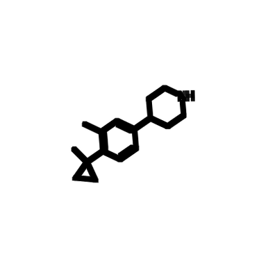 Cc1cc(C2CCNCC2)ccc1C1(C)CC1